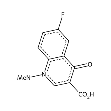 CNn1cc(C(=O)O)c(=O)c2cc(F)ccc21